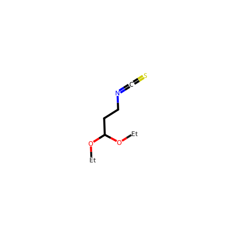 CCOC(CCN=C=S)OCC